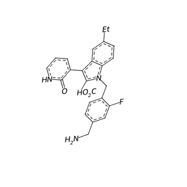 CCc1ccc2c(c1)c(-c1ccc[nH]c1=O)c(C(=O)O)n2Cc1ccc(CN)cc1F